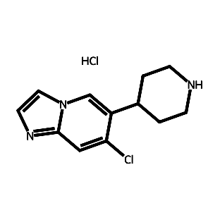 Cl.Clc1cc2nccn2cc1C1CCNCC1